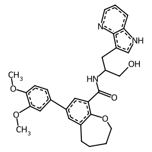 COc1ccc(-c2cc3c(c(C(=O)NC(CO)Cc4c[nH]c5cccnc45)c2)OCCCC3)cc1OC